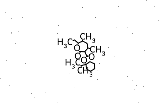 CCC1OC(=O)C(C(=O)OC2(C(C)C)CCCCC2)C(C)CC1C